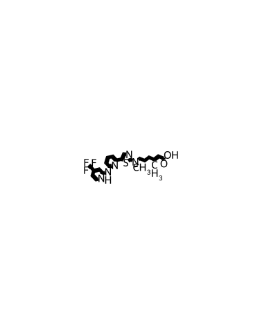 C/C(=C\C(=O)O)CCCN(C)c1ncc(-c2cccc(Nc3cc(C(F)(F)F)ccn3)n2)s1